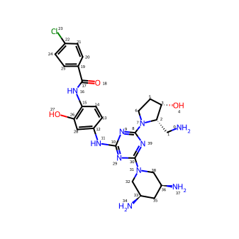 NC[C@H]1[C@@H](O)CCN1c1nc(Nc2ccc(NC(=O)c3ccc(Cl)cc3)c(O)c2)nc(N2C[C@H](N)C[C@H](N)C2)n1